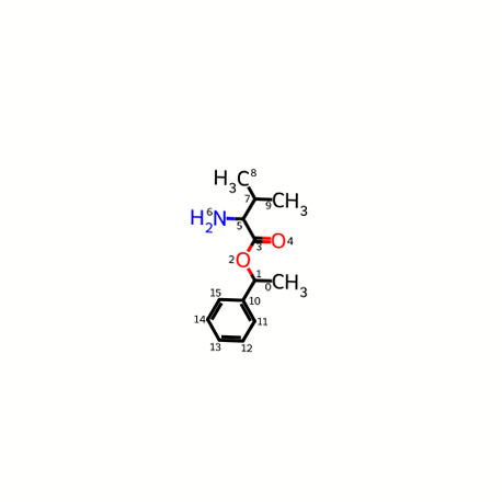 CC(OC(=O)C(N)C(C)C)c1ccccc1